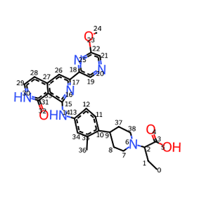 CCC(C(=O)O)N1CCC(c2ccc(Nc3nc(-c4cncc(OC)n4)cc4cc[nH]c(=O)c34)cc2C)CC1